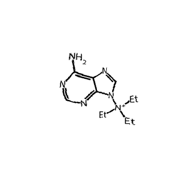 CC[N+](CC)(CC)n1cnc2c(N)ncnc21